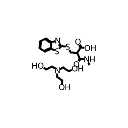 CNC(=O)C(CSc1nc2ccccc2s1)C(=O)O.OCCN(CCO)CCO